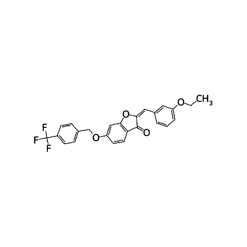 CCOc1cccc(C=C2Oc3cc(OCc4ccc(C(F)(F)F)cc4)ccc3C2=O)c1